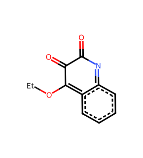 CCOC1=c2ccccc2=NC(=O)C1=O